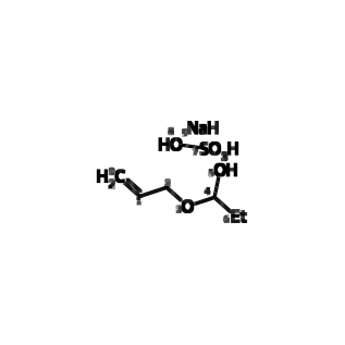 C=CCOC(O)CC.O=S(=O)(O)O.[NaH]